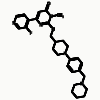 Cn1c(OCC2CCN(c3ccc(CN4CCCCC4)cc3)CC2)nc(-c2ccncc2F)cc1=O